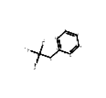 FC(F)(F)Cc1cc[c]cc1